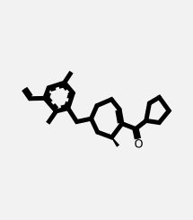 C=Cc1cc(C)cc(CC2CCC=C(C(=O)C3CCCC3)[C@@H](C)C2)c1C